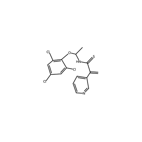 C=C(C(=S)NC(C)Oc1c(Cl)cc(Cl)cc1Cl)c1cccnc1